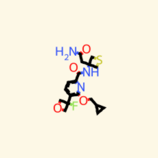 NC(=O)CC1(NC(=O)c2ccc(C3(F)COC3)c(OCC3CC3)n2)CSC1